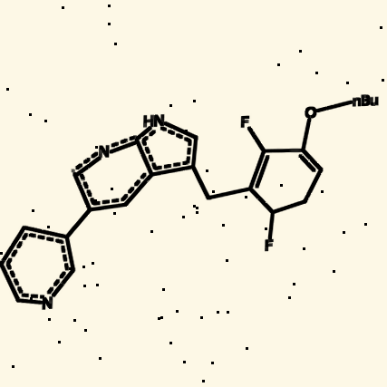 CCCCOC1=CCC(F)C(Cc2c[nH]c3ncc(-c4cccnc4)cc23)=C1F